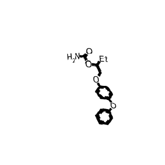 CCC(COc1ccc(Oc2ccccc2)cc1)OC(N)=O